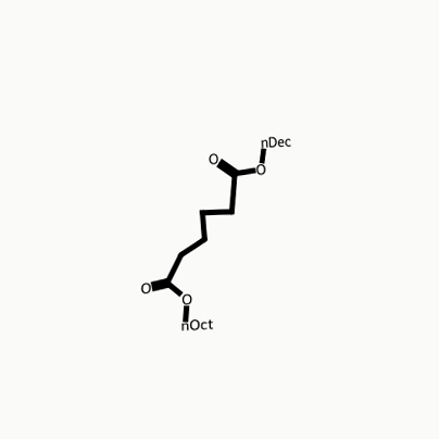 CCCCCCCCCCOC(=O)CCCCC(=O)OCCCCCCCC